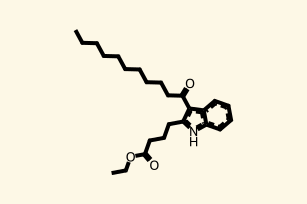 CCCCCCCCCCC(=O)c1c(CCCC(=O)OCC)[nH]c2ccccc12